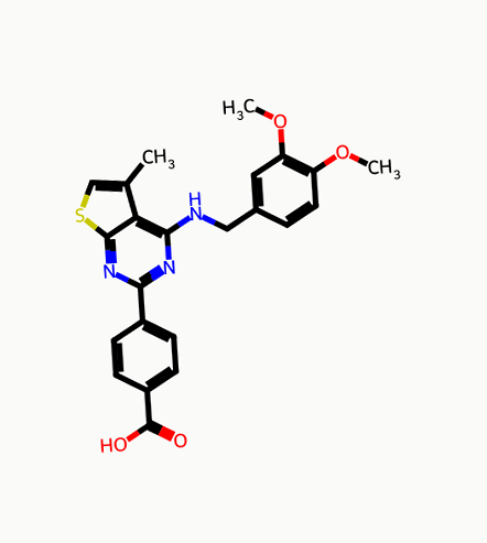 COc1ccc(CNc2nc(-c3ccc(C(=O)O)cc3)nc3scc(C)c23)cc1OC